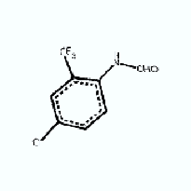 O=CNc1ccc(Cl)cc1C(F)(F)F